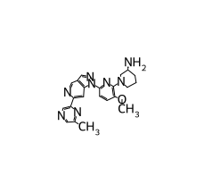 COc1ccc(-n2ncc3cnc(-c4cncc(C)n4)cc32)nc1N1CCC[C@H](N)C1